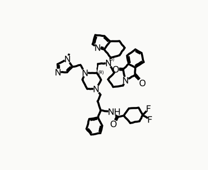 Cn1cncc1CN1CCN(CCC(NC(=O)C2CCC(F)(F)CC2)c2ccccc2)C[C@@H]1CN(CCCCN1C(=O)c2ccccc2C1=O)[C@H]1CCCc2cccnc21